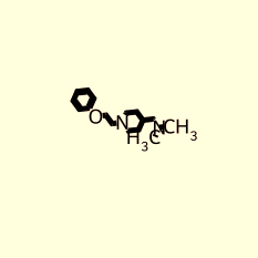 CN(C)CC1CCN(CCOc2ccccc2)CC1